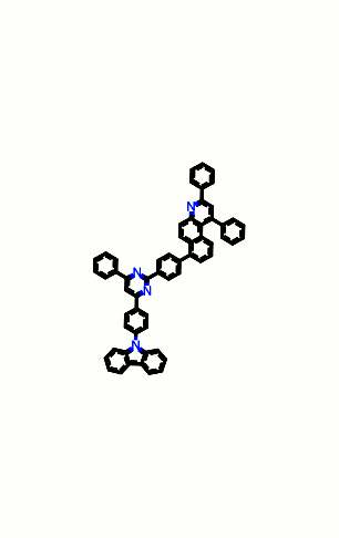 c1ccc(-c2cc(-c3ccc(-n4c5ccccc5c5ccccc54)cc3)nc(-c3ccc(-c4cccc5c4ccc4nc(-c6ccccc6)cc(-c6ccccc6)c45)cc3)n2)cc1